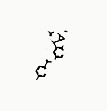 C[C@]1(c2cc(NC(=O)c3ccc(Cl)cn3)cnc2F)N=C(N)S[C@@]2(CO)CC21